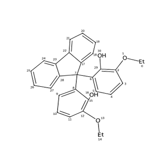 CCOc1cccc(C2(c3cccc(OCC)c3O)c3ccccc3-c3ccccc32)c1O